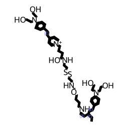 C/C=C(\C=C/NCCCCOCNCCSSCCNC(O)CCC[n+]1ccc(/C=C/c2ccc(N(CCO)CCO)cc2)cc1)/C=C/c1ccc(N(CCO)CCO)cc1